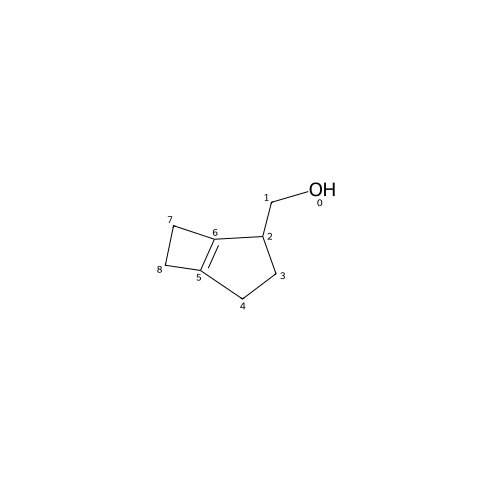 OCC1CCC2=C1CC2